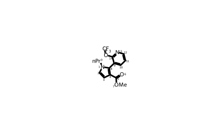 CCCn1ccc(C(=O)OC)c1-c1cccnc1OC(F)(F)F